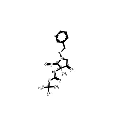 C=C1CN(OCc2ccccc2)C(=C=O)[C@]1(C)NC(=O)OC(C)(C)C